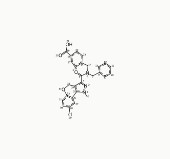 Cn1nc(C(=O)N(Cc2ccccc2)Cc2ccc(C(=O)O)cc2)c2c1-c1cc(Cl)ccc1OC2